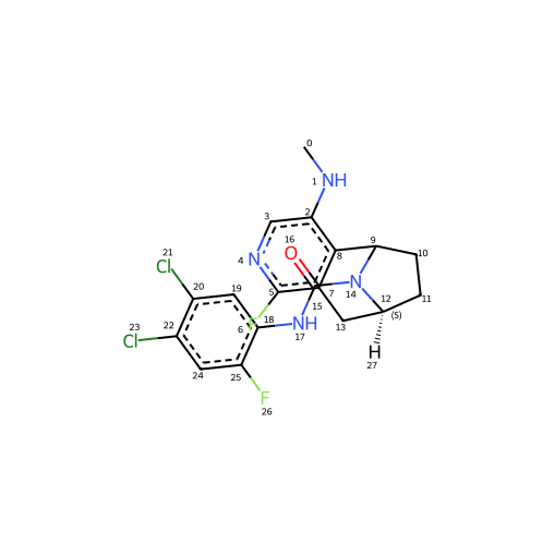 CNc1cnc(F)c2c1C1CC[C@@H](C2)N1C(=O)Nc1cc(Cl)c(Cl)cc1F